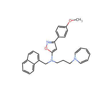 COc1ccc(-c2cc(N(CCCN3C=CC=CC=C3)Cc3cccc4ccccc34)on2)cc1